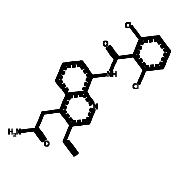 C=Cc1cnc2c(NC(=O)c3c(Cl)cccc3Cl)cccc2c1CC(N)=O